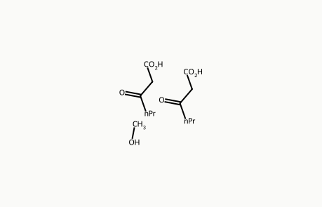 CCCC(=O)CC(=O)O.CCCC(=O)CC(=O)O.CO